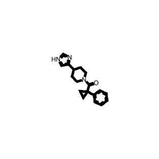 O=C(N1CCC(c2c[nH]cn2)CC1)C1(c2ccccc2)CC1